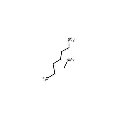 CNC.O=S(=O)(O)CCCCCC(F)(F)F